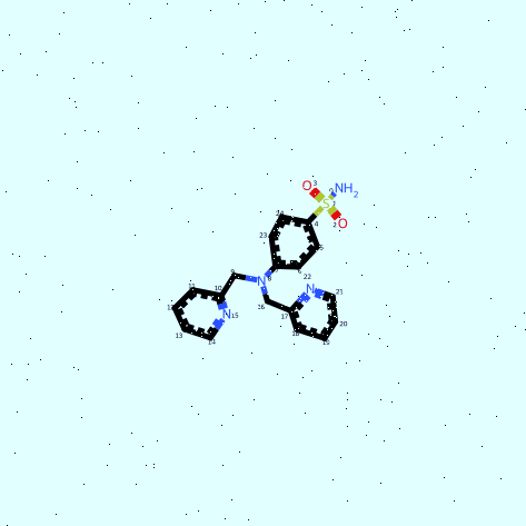 NS(=O)(=O)c1ccc(N(Cc2ccccn2)Cc2ccccn2)cc1